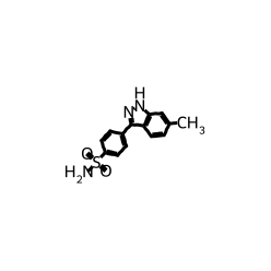 Cc1ccc2c(-c3ccc(S(N)(=O)=O)cc3)n[nH]c2c1